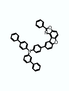 c1ccc(-c2ccc(N(c3ccc(-c4ccc5oc6ccc7oc(-c8ccccc8)nc7c6c5c4)cc3)c3cccc(-c4ccccc4)c3)cc2)cc1